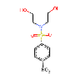 O=[N+]([O-])c1ccc(S(=O)(=O)N(CCO)CCO)cc1